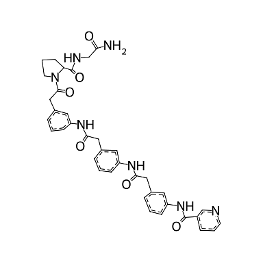 NC(=O)CNC(=O)C1CCCN1C(=O)Cc1cccc(NC(=O)Cc2cccc(NC(=O)Cc3cccc(NC(=O)c4cccnc4)c3)c2)c1